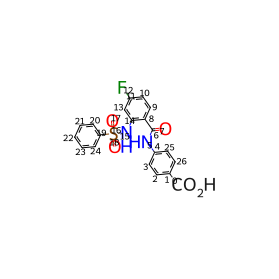 O=C(O)c1ccc(NC(=O)c2ccc(F)cc2NS(=O)(=O)c2ccccc2)cc1